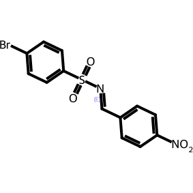 O=[N+]([O-])c1ccc(/C=N/S(=O)(=O)c2ccc(Br)cc2)cc1